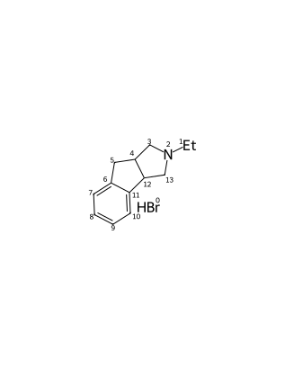 Br.CCN1CC2Cc3ccccc3C2C1